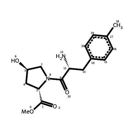 COC(=O)[C@@H]1C[C@@H](O)CN1C(=O)[C@H](N)Cc1ccc(C)cc1